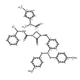 CCC(NC(=O)N1C(=O)[C@H](Cc2ccnc(N(Cc3ccc(OC)cc3)Cc3ccc(OC)cc3)c2)[C@H]1C(=O)N(C)c1cnn(C)c1)c1ccccc1